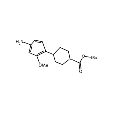 COc1cc(N)ccc1C1CCN(C(=O)OC(C)(C)C)CC1